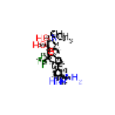 CN(C)[C@H]1C[C@@]23CC[C@@]4(O2)C(=C(C(F)(F)F)C[C@]2(C)C(c5ccc6[nH]nc(N)c6c5)=CCC24)C=C3[C@@H](O)[C@@H]1O